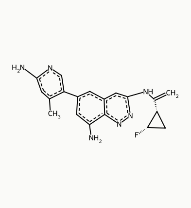 C=C(Nc1cc2cc(-c3cnc(N)cc3C)cc(N)c2nn1)[C@@H]1C[C@@H]1F